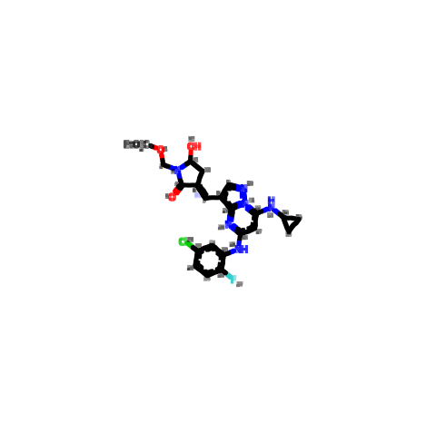 CCOC(=O)OCN1C(=O)/C(=C/c2cnn3c(NC4CC4)cc(Nc4cc(Cl)ccc4F)nc23)CC1O